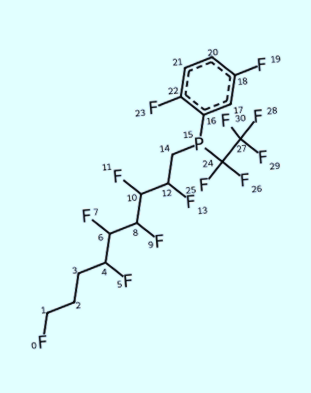 FCCCC(F)C(F)C(F)C(F)C(F)CP(c1cc(F)ccc1F)C(F)(F)C(F)(F)F